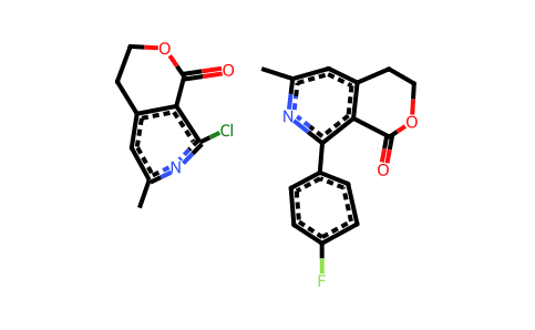 Cc1cc2c(c(-c3ccc(F)cc3)n1)C(=O)OCC2.Cc1cc2c(c(Cl)n1)C(=O)OCC2